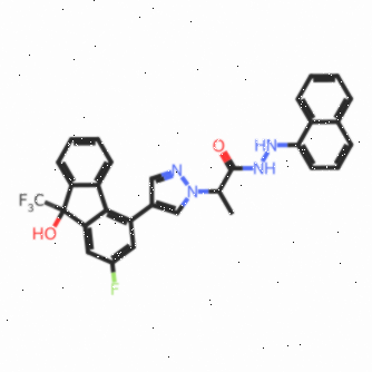 CC(C(=O)NNc1cccc2ccccc12)n1cc(-c2cc(F)cc3c2-c2ccccc2C3(O)C(F)(F)F)cn1